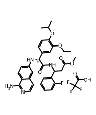 CCOc1cc([C@@H](Nc2ccc3c(N)nccc3c2)C(=O)NC(CC(=O)OC)c2ccccc2F)ccc1OC(C)C.O=C(O)C(F)(F)F